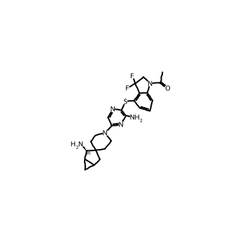 CC(=O)N1CC(F)(F)c2c(Sc3ncc(N4CCC5(CC4)CC4CC4[C@H]5N)nc3N)cccc21